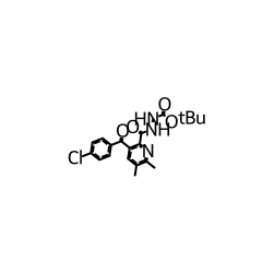 Cc1cc(C(=O)c2ccc(Cl)cc2)c(C(=O)NNC(=O)OC(C)(C)C)nc1C